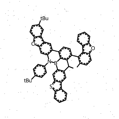 Cc1ccc2oc3ccccc3c2c1-c1ccc2c3c1C(C)c1cc4c(cc1B3N(c1ccc(C(C)(C)C)cc1)c1cc3oc5ccc(C(C)(C)C)cc5c3cc1-2)sc1ccccc14